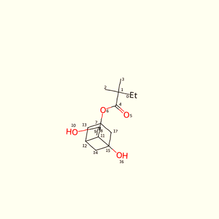 CCC(C)(C)C(=O)OC12CC(O)=C3C(C1)CC3(O)C2